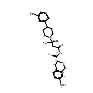 CCC(CC(C)(C)N1CCC(c2cccc(O)c2)CC1)NC(=O)[C@H]1Cc2ccc(OC)cc2CS1